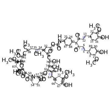 COc1cc(/C=C/C(=O)C(C(=O)/C=C/c2ccc(O)c(OC)c2)c2ccc(NC(=O)OCC[C@@H]3/C=C(\C)C[C@H](C)C[C@H](OC)[C@H]4O[C@@](O)(C(=O)C(=O)N5CCCC[C@H]5C(=O)O[C@H](/C(C)=C/[C@@H]5CC[C@@H](O)[C@H](OC)C5)[C@H](C)[C@@H](O)CC3=O)[C@H](C)C[C@@H]4OC)cc2)ccc1O